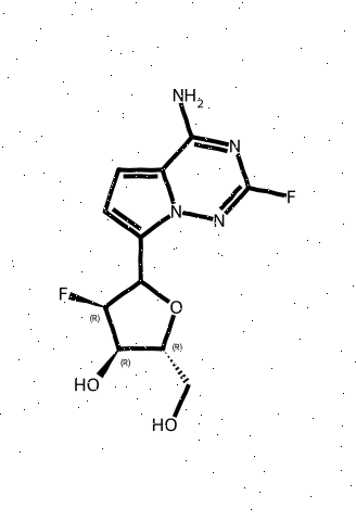 Nc1nc(F)nn2c(C3O[C@H](CO)[C@@H](O)[C@H]3F)ccc12